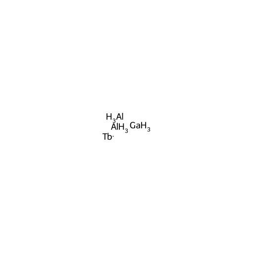 [AlH3].[AlH3].[GaH3].[Tb]